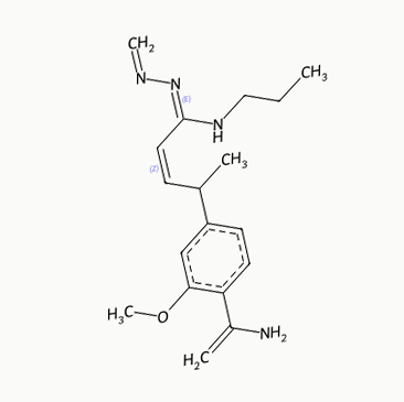 C=N/N=C(\C=C/C(C)c1ccc(C(=C)N)c(OC)c1)NCCC